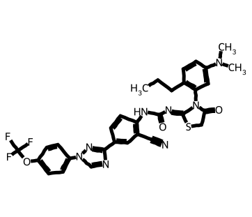 CCCc1ccc(N(C)C)cc1N1C(=O)CS/C1=N\C(=O)Nc1ccc(-c2ncn(-c3ccc(OC(F)(F)F)cc3)n2)cc1C#N